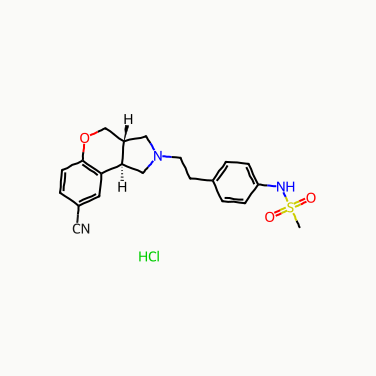 CS(=O)(=O)Nc1ccc(CCN2C[C@H]3COc4ccc(C#N)cc4[C@@H]3C2)cc1.Cl